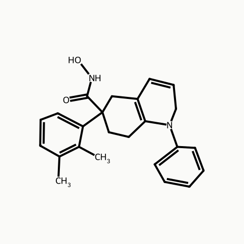 Cc1cccc(C2(C(=O)NO)CCC3=C(C=CCN3c3ccccc3)C2)c1C